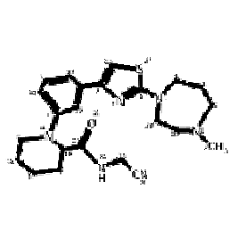 CN1CCCN(c2nc(-c3cccc(N4CCCCC4C(=O)NCC#N)c3)cs2)CC1